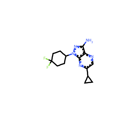 Nc1nn(C2CCC(F)(F)CC2)c2nc(C3CC3)cnc12